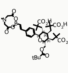 CN1CC(=O)OB(C=Cc2ccc([C@@H]3O[C@@H](COC(=O)C(C)(C)C)[C@H](CC(C)(C)C(=O)O)[C@H](CC(C)(C)C(=O)O)[C@H]3CC(C)(C)C(=O)O)cc2)OC(=O)C1